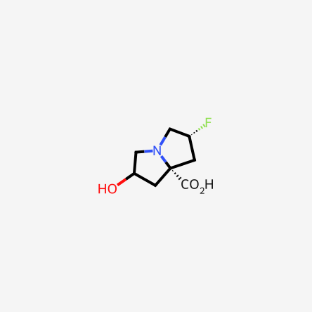 O=C(O)[C@]12CC(O)CN1C[C@H](F)C2